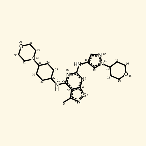 Cc1nsc2nc(Nc3cnn(C4CCOCC4)c3)nc(NC3CCC(N4CCOCC4)CC3)c12